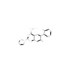 Cc1ccccc1-c1cc2c(N(C)C)nc(-n3cccn3)nc2cc1Cl